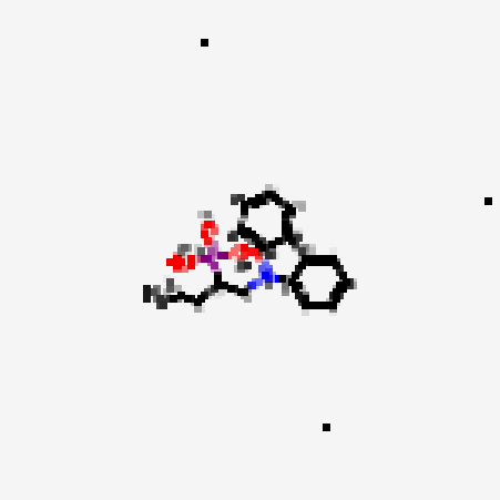 CCC(Cn1c2ccccc2c2ccccc21)P(=O)(O)O